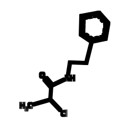 CC(Cl)C(=O)NCCc1ccccc1